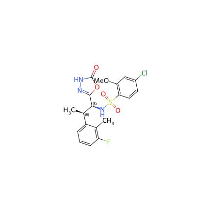 COc1cc(Cl)ccc1S(=O)(=O)N[C@H](c1n[nH]c(=O)o1)[C@H](C)c1cccc(F)c1C